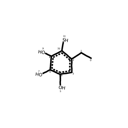 CCc1cc(O)c(O)c(O)c1S